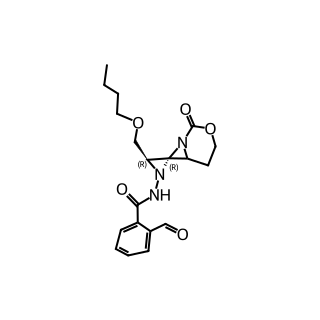 CCCCOC[C@@H]1N(NC(=O)c2ccccc2C=O)[C@]12C1CCOC(=O)N12